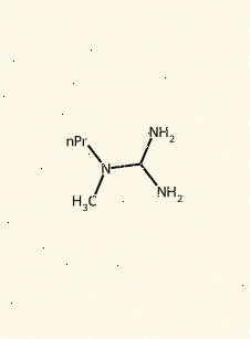 CCCN(C)C(N)N